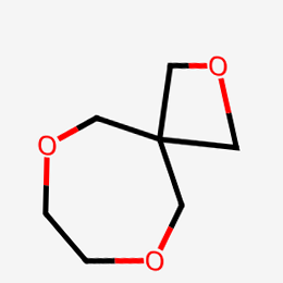 C1COCC2(CO1)COC2